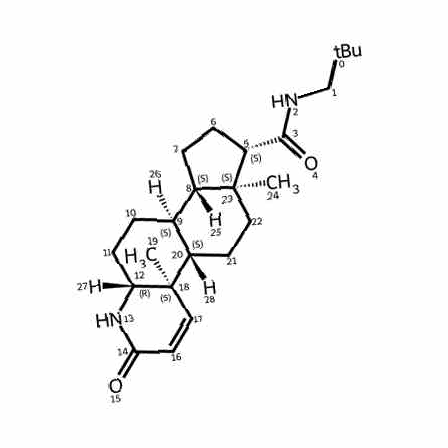 CC(C)(C)CNC(=O)[C@H]1CC[C@H]2[C@@H]3CC[C@H]4NC(=O)C=C[C@]4(C)[C@H]3CC[C@]12C